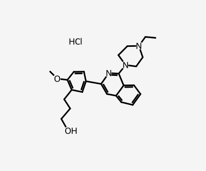 CCN1CCN(c2nc(-c3ccc(OC)c(CCCO)c3)cc3ccccc23)CC1.Cl